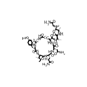 CC[C@H](C)[C@@H]1NC(=O)[C@H](Cc2ccc(O)cc2)NC(=O)CNC(=O)CC[C@@H](C(=O)N[C@@H](C)C(=O)N[C@@H](C)C(=O)NCC(N)=O)NC(=O)[C@H](CC(N)=O)NC(=O)[C@H](CCC(N)=O)NC1=O